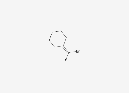 FC(Br)=C1CCCCC1